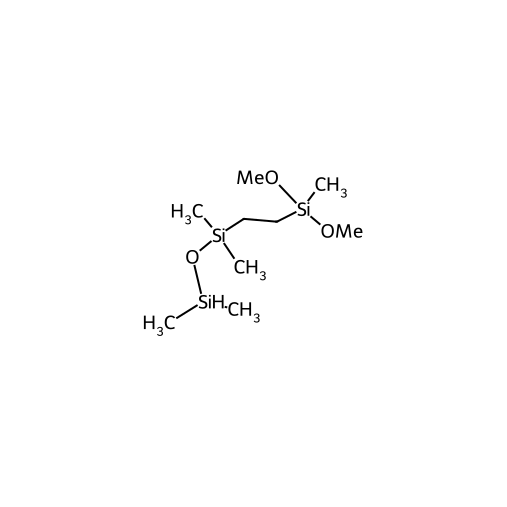 CO[Si](C)(CC[Si](C)(C)O[SiH](C)C)OC